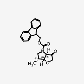 C[C@@H]1CN(C(=O)OCC2c3ccccc3-c3ccccc32)[C@@H]2C(=O)CO[C@H]12